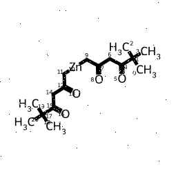 CC(C)(C)C(=O)CC(=O)[CH2][Zn][CH2]C(=O)CC(=O)C(C)(C)C